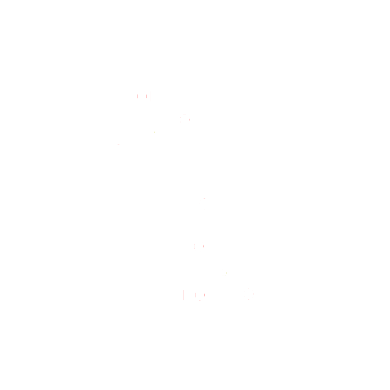 CCCC(CS(=O)(=O)O)OC(CCC)CS(=O)(=O)O